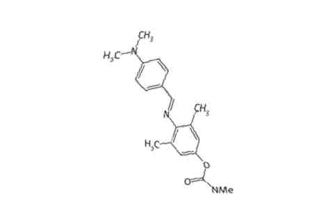 CNC(=O)Oc1cc(C)c(N=Cc2ccc(N(C)C)cc2)c(C)c1